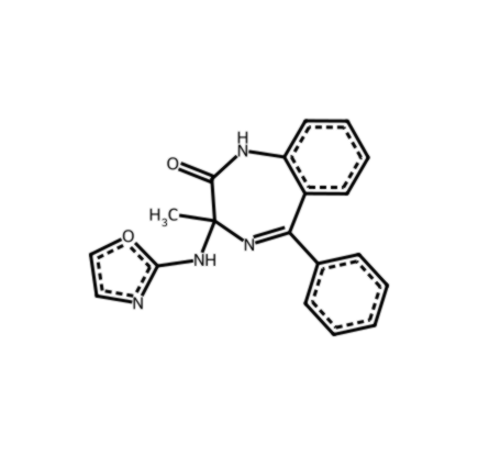 CC1(Nc2ncco2)N=C(c2ccccc2)c2ccccc2NC1=O